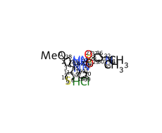 COc1ccc(CC2CCSCC2)c(Nc2nc3ccccc3nc2NS(=O)(=O)c2ccc(CN(C)C)cc2)c1.Cl